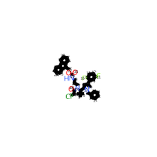 CC(C)(C)[C@H](c1cc(-c2cc(F)ccc2F)cn1Cc1ccccc1)N(CCCNC(=O)OCC1c2ccccc2-c2ccccc21)C(=O)CCl